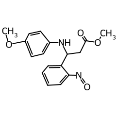 COC(=O)CC(Nc1ccc(OC)cc1)c1ccccc1N=O